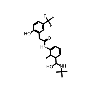 CC1C(NC(=O)Cc2cc(C(F)(F)F)ccc2O)=CC=CC1C(O)NC(C)(C)C